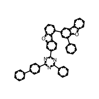 c1ccc(-c2ccc(-c3nc(-c4ccccc4)nc(-c4ccc5c(c4)oc4cccc(-c6cc(-c7ccccc7)c7oc8ccccc8c7c6)c45)n3)cc2)cc1